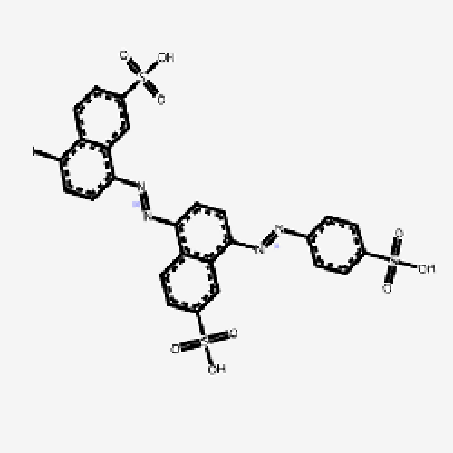 O=S(=O)(O)c1ccc(/N=N/c2ccc(/N=N/c3ccc(I)c4ccc(S(=O)(=O)O)cc34)c3ccc(S(=O)(=O)O)cc23)cc1